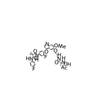 COc1cc2nccc(Oc3ccc(NC(=O)C4(C(=O)Nc5ccc(F)cc5)CC4)cc3F)c2cc1OCCCNC(=O)C(CC(C)=O)NO